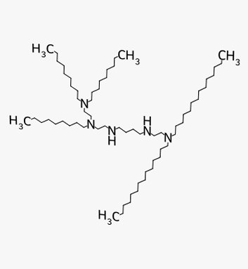 CCCCCCCCCCCCCCN(CCCCCCCCCCCCCC)CCNCCCCNCCN(CCCCCCCCC)CCN(CCCCCCCCC)CCCCCCCCC